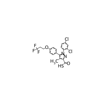 Cc1c(C(=O)S)nn(-c2ccc(Cl)cc2Cl)c1-c1ccc(OCCC(F)(F)F)cc1